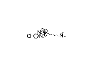 CCN(CC)CCCCCCN1CCn2c(nc3cc(Cl)ccc32)S1(=O)=O